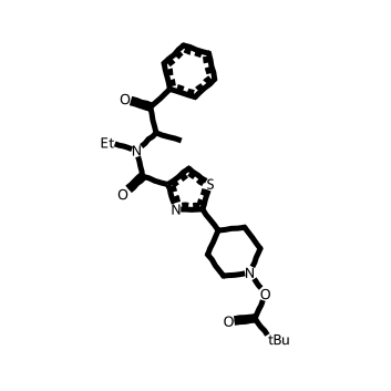 CCN(C(=O)c1csc(C2CCN(OC(=O)C(C)(C)C)CC2)n1)C(C)C(=O)c1ccccc1